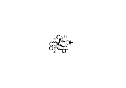 O=[N+]([O-])O.O=[N+]([O-])[O-].O=[N+]([O-])[O-].[Ca+2]